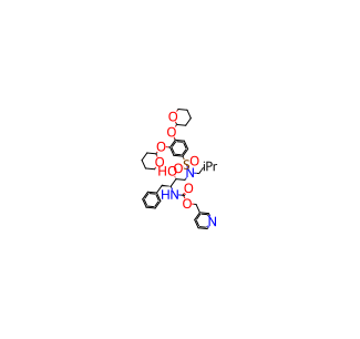 CC(C)CN(C[C@@H](O)[C@H](Cc1ccccc1)NC(=O)OCc1cccnc1)S(=O)(=O)c1ccc(OC2CCCCO2)c(OC2CCCCO2)c1